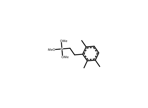 CO[Si](CCc1c(C)ccc(C)c1C)(OC)OC